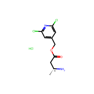 C[C@@H](N)CC(=O)OCc1cc(Cl)nc(Cl)c1.Cl